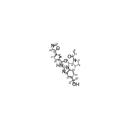 C=CC(=O)N1CCCC1Cn1c(NC(=O)c2ccc(-c3cnco3)s2)nc2cc(C(C)(C)O)ccc21